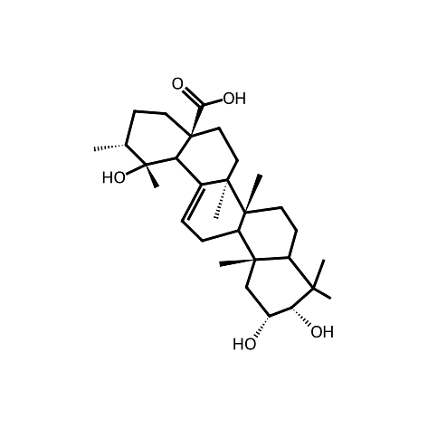 C[C@@H]1CC[C@]2(C(=O)O)CC[C@]3(C)C(=CCC4[C@@]5(C)C[C@@H](O)[C@@H](O)C(C)(C)C5CC[C@]43C)C2[C@]1(C)O